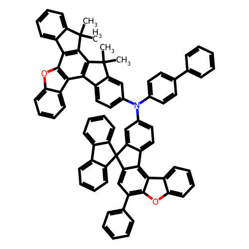 CC1(C)c2ccccc2-c2c1c1c(c3c2oc2ccccc23)-c2ccc(N(c3ccc(-c4ccccc4)cc3)c3ccc4c(c3)C3(c5ccccc5-c5ccccc53)c3cc(-c5ccccc5)c5oc6ccccc6c5c3-4)cc2C1(C)C